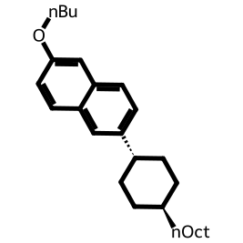 CCCCCCCC[C@H]1CC[C@H](c2ccc3cc(OCCCC)ccc3c2)CC1